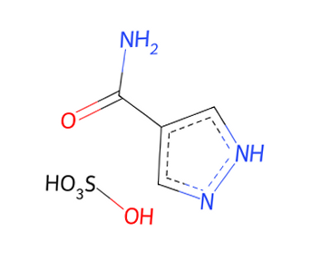 NC(=O)c1cn[nH]c1.O=S(=O)(O)O